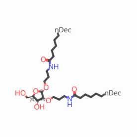 CCCCCCCCCCCCCCCC(=O)NCCCO[C@@H]1O[C@H](CO)[C@@H](O)[C@H]1OCCCNC(=O)CCCCCCCCCCCCCCC